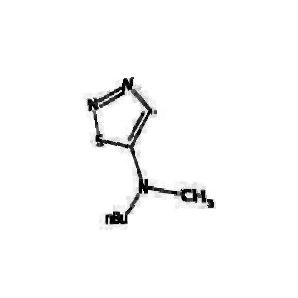 CCCCN(C)c1[c]nns1